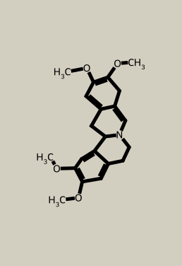 COC1=C(OC)CC2=CN3CCc4cc(OC)c(OC)cc4C3CC2=C1